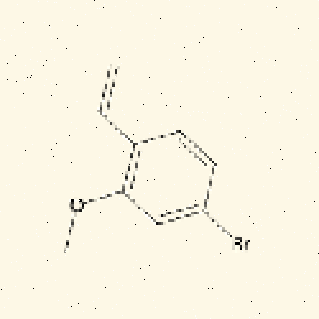 C=Cc1ccc(Br)cc1OC